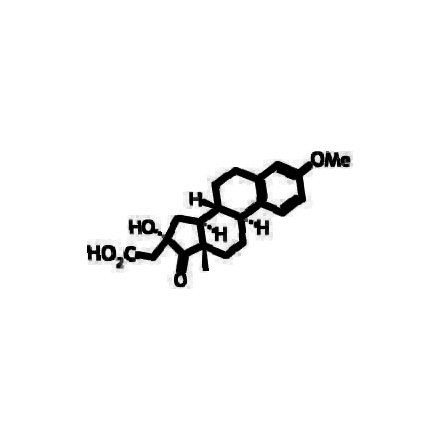 COc1ccc2c(c1)CC[C@@H]1[C@@H]2CC[C@]2(C)C(=O)[C@@](O)(CC(=O)O)C[C@@H]12